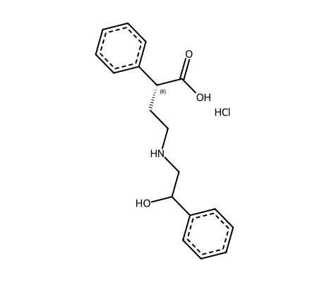 Cl.O=C(O)[C@H](CCNCC(O)c1ccccc1)c1ccccc1